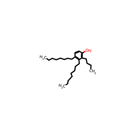 CCCCCCCCc1ccc(O)c(CCCC)c1CCCCCCCC